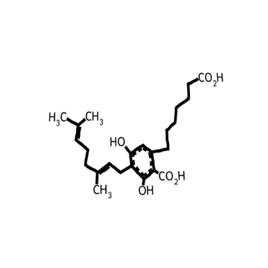 CC(C)=CCC/C(C)=C/Cc1c(O)cc(CCCCCCC(=O)O)c(C(=O)O)c1O